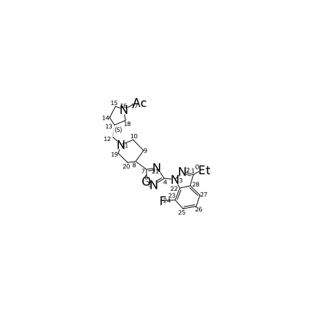 CCc1nn(-c2noc(C3CCN(C[C@@H]4CCN(C(C)=O)C4)CC3)n2)c2c(F)cccc12